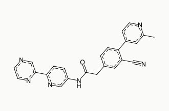 Cc1cc(-c2ccc(CC(=O)Nc3ccc(-c4cnccn4)nc3)cc2C#N)ccn1